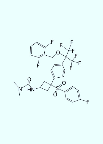 CN(C)C(=O)NC1CC(c2ccc(C(OCc3c(F)cccc3F)(C(F)(F)F)C(F)(F)F)cc2)(S(=O)(=O)c2ccc(F)cc2)C1